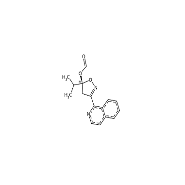 CC(C)[C@@]1(OC=O)CC(c2nccc3ccccc23)=NO1